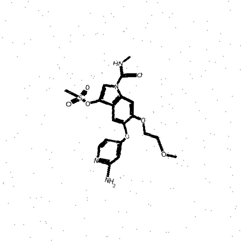 CNC(=O)n1cc(OS(C)(=O)=O)c2cc(Oc3ccnc(N)c3)c(OCCOC)cc21